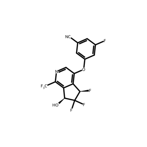 N#Cc1cc(F)cc(Oc2cnc(C(F)(F)F)c3c2[C@@H](F)C(F)(F)[C@H]3O)c1